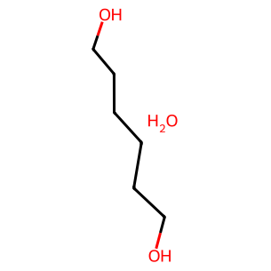 O.OCCCCCCO